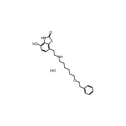 Cl.O=c1[nH]c2c(O)ccc(CCNCCCCCCOCCc3ccccc3)c2s1